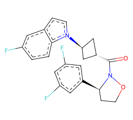 O=C([C@H]1C[C@H](n2ccc3cc(F)ccc32)C1)N1OCC[C@H]1c1cc(F)cc(F)c1